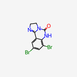 O=C1Nc2c(Br)cc(Br)cc2C2=NCCN12